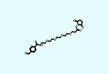 O=Cc1ccc(C(=O)NCCOCCOCCOCCOCCC(=O)ON2C(=O)CCC2=O)cc1